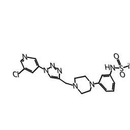 CC(C)S(=O)(=O)Nc1cccc(N2CCN(Cc3cn(-c4cncc(Cl)c4)nn3)CC2)c1